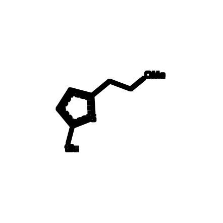 COCCc1ccc(C(C)(C)C)s1